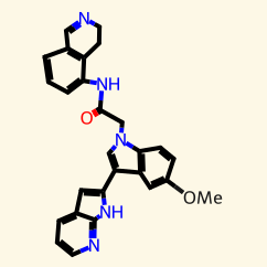 COc1ccc2c(c1)c(-c1cc3cccnc3[nH]1)cn2CC(=O)Nc1cccc2c1CCN=C2